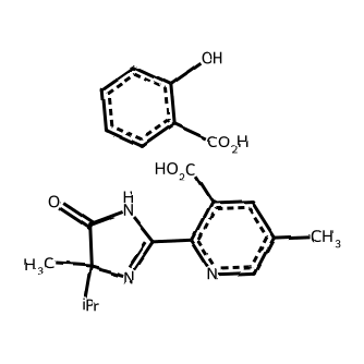 Cc1cnc(C2=NC(C)(C(C)C)C(=O)N2)c(C(=O)O)c1.O=C(O)c1ccccc1O